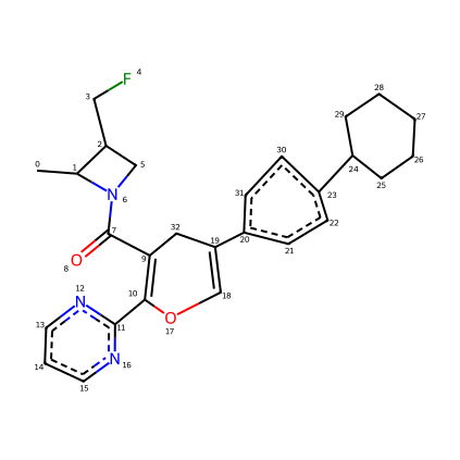 CC1C(CF)CN1C(=O)C1=C(c2ncccn2)OC=C(c2ccc(C3CCCCC3)cc2)C1